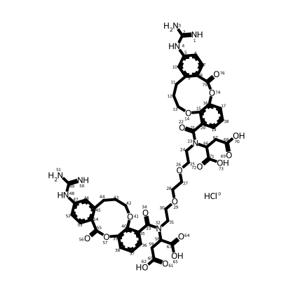 Cl.N=C(N)Nc1ccc2c(c1)CCCOc1c(cccc1C(=O)N(CCOCCOCCN(C(=O)c1cccc3c1OCCCc1cc(NC(=N)N)ccc1C(=O)O3)C(CC(=O)O)C(=O)O)C(CC(=O)O)C(=O)O)OC2=O